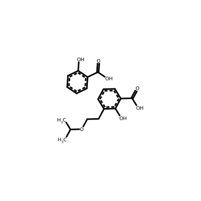 CC(C)OCCc1cccc(C(=O)O)c1O.O=C(O)c1ccccc1O